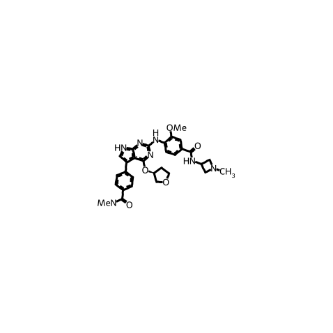 CNC(=O)c1ccc(-c2c[nH]c3nc(Nc4ccc(C(=O)NC5CN(C)C5)cc4OC)nc(O[C@H]4CCOC4)c23)cc1